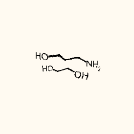 NCCCO.OCCO